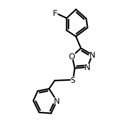 Fc1cccc(-c2nnc(SCc3ccccn3)o2)c1